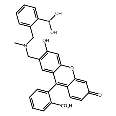 CN(Cc1cc2c(-c3ccccc3C(=O)O)c3ccc(=O)cc-3oc2cc1O)Cc1ccccc1B(O)O